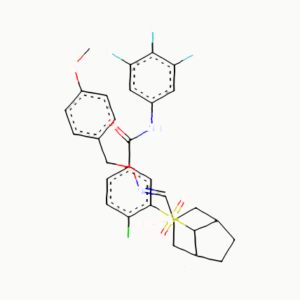 COc1ccc(CO/N=C/[C@@]2(O)CC3CC[C@@H](C2)C3S(=O)(=O)c2cc(C(=O)Nc3cc(F)c(F)c(F)c3)ccc2Cl)cc1